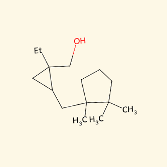 CCC1(CO)CC1CC1(C)CCCC1(C)C